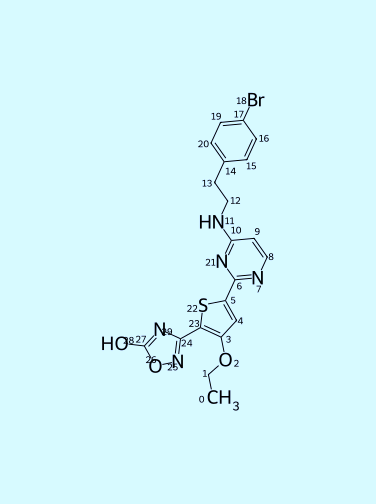 CCOc1cc(-c2nccc(NCCc3ccc(Br)cc3)n2)sc1-c1noc(O)n1